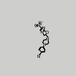 N#Cc1ccc(N2CCN(CC3Cn4cc([N+](=O)[O-])nc4O3)CC2)cc1